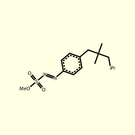 COS(=O)(=O)N=Nc1ccc(CC(C)(C)CC(C)C)cc1